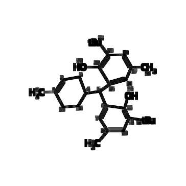 CC1=CCC(C(c2cc(C)cc(C(C)(C)C)c2O)c2cc(C)cc(C(C)(C)C)c2O)CC1